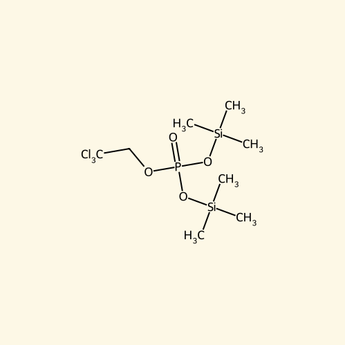 C[Si](C)(C)OP(=O)(OCC(Cl)(Cl)Cl)O[Si](C)(C)C